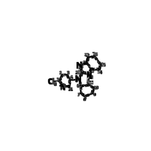 Clc1ccc(-n2c3ccccc3n3c4ccccc4nc23)cn1